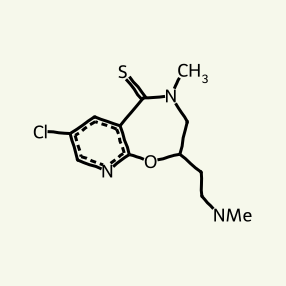 CNCCC1CN(C)C(=S)c2cc(Cl)cnc2O1